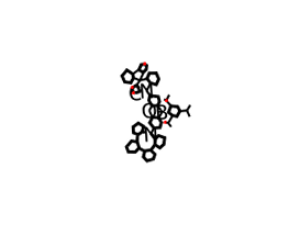 CC(C)c1cc(C(C)C)c(B2c3ccc(N4c5ccccc5C5(c6ccccc6-c6ccccc65)c5ccccc54)cc3Oc3cc(-n4c5ccccc5c5ccccc5c5ccccc5c5ccccc54)ccc32)c(C(C)C)c1